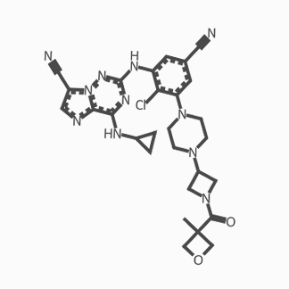 CC1(C(=O)N2CC(N3CCN(c4cc(C#N)cc(Nc5nc(NC6CC6)c6ncc(C#N)n6n5)c4Cl)CC3)C2)COC1